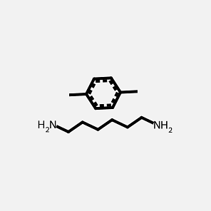 Cc1ccc(C)cc1.NCCCCCCN